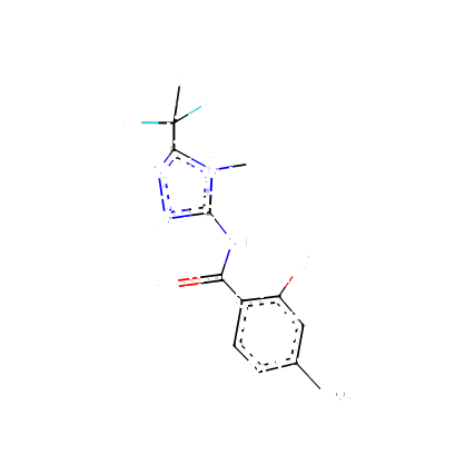 COc1ccc(C(=O)Nc2nnc(C(F)(F)C(F)(F)F)n2C)c(O)c1